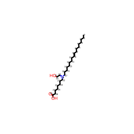 CCCCCCCCC=CCCCCCCCCN(CCO)CCCCCCCC(=O)O